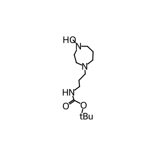 CC(C)(C)OC(=O)NCCCN1CCCN(O)CC1